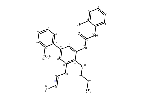 O=C(Nc1ccccc1F)Nc1cc(-c2ccccc2C(=O)O)cc(C/C=C/C(F)(F)F)c1OCCC(F)(F)F